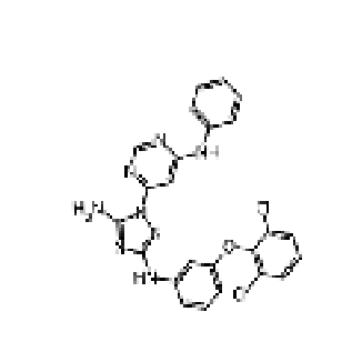 Nc1nc(Nc2cccc(Oc3c(Cl)cccc3Cl)c2)nn1-c1cc(Nc2ccccc2)ncn1